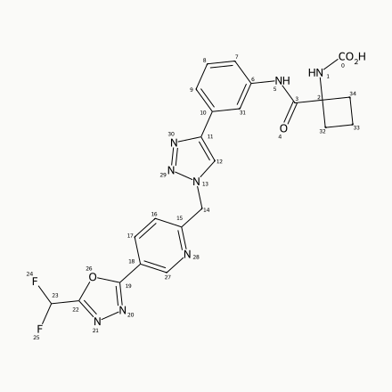 O=C(O)NC1(C(=O)Nc2cccc(-c3cn(Cc4ccc(-c5nnc(C(F)F)o5)cn4)nn3)c2)CCC1